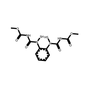 COC(=O)NC(=O)N(S)c1ccccc1N(S)C(=O)NC(=O)OC